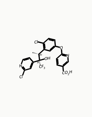 C[C@H](c1cc(Oc2ccc(C(=O)O)cn2)ccc1Cl)[C@@](O)(c1ccnc(Cl)c1)C(F)(F)F